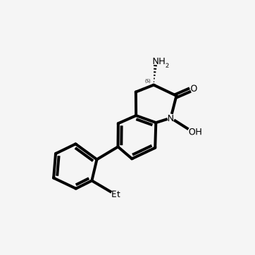 CCc1ccccc1-c1ccc2c(c1)C[C@H](N)C(=O)N2O